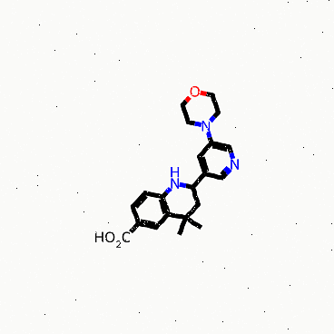 CC1(C)CC(c2cncc(N3CCOCC3)c2)Nc2ccc(C(=O)O)cc21